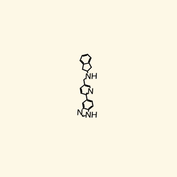 c1ccc2c(c1)CC(NCc1ccc(-c3ccc4[nH]cnc4c3)nc1)C2